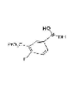 CCOC(=O)c1cc(B(O)O)ccc1F